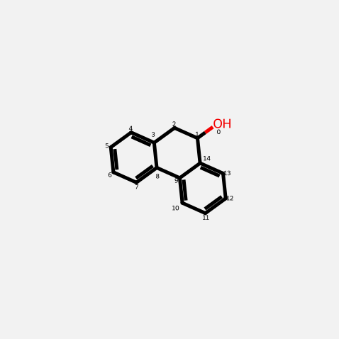 OC1Cc2ccccc2-c2ccccc21